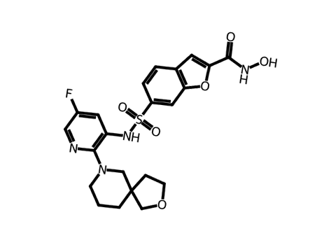 O=C(NO)c1cc2ccc(S(=O)(=O)Nc3cc(F)cnc3N3CCCC4(CCOC4)C3)cc2o1